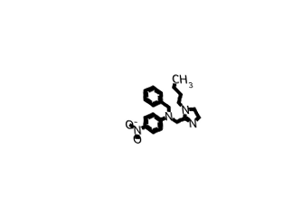 CCCCN1CCN=C1CN(Cc1ccccc1)c1ccc([N+](=O)[O-])cc1